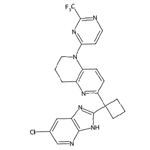 FC(F)(F)c1nccc(N2CCCc3nc(C4(c5nc6cc(Cl)cnc6[nH]5)CCC4)ccc32)n1